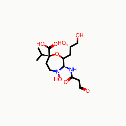 CC(C)[C@]1(C(=O)O)CCN(O)[C@H](NC(=O)CC=O)C(C[C@H](O)CO)O1